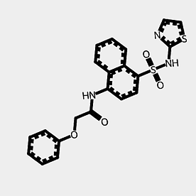 O=C(COc1ccccc1)Nc1ccc(S(=O)(=O)Nc2nccs2)c2ccccc12